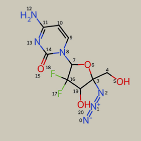 [N-]=[N+]=NC1(CO)OC(n2ccc(N)nc2=O)C(F)(F)C1O